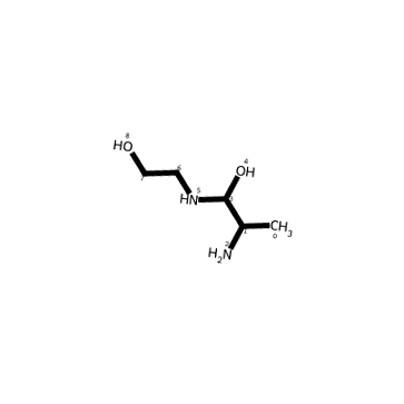 CC(N)C(O)NCCO